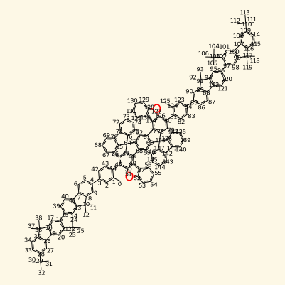 Cc1cc(-c2ccc3c(c2)C(C)(C)c2cc(-c4cc5c(cc4C(C)(C)C)-c4cc(C(C)(C)C)ccc4C5(C)C)ccc2-3)ccc1-c1cc2c(c3c1oc1ccccc13)-c1cc3c(cc1C21c2ccccc2-c2ccccc21)-c1c(cc(-c2ccc(-c4ccc5c(c4)C(C)(C)c4cc(-c6cc7c(cc6C(C)(C)C)-c6cc(C(C)(C)C)ccc6C7(C)C)ccc4-5)cc2C)c2oc4ccccc4c12)C31c2ccccc2-c2ccccc21